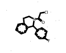 O=C(CCl)N1CCc2ccccc2C1c1ccc(F)cc1